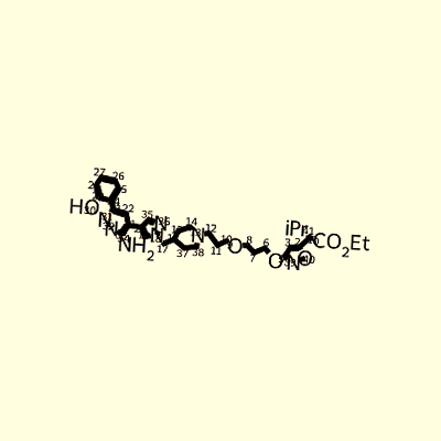 CCOC(=O)C(c1cc(OCCCOCCCN2CCC(Cn3cc(-c4cc(-c5ccccc5O)nnc4N)cn3)CC2)no1)C(C)C